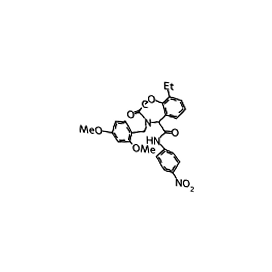 CCc1cccc2c1OCC(=O)N(Cc1ccc(OC)cc1OC)C2C(=O)Nc1ccc([N+](=O)[O-])cc1